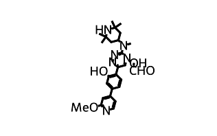 COc1cc(-c2ccc(-c3cnc(N(C)C4CC(C)(C)NC(C)(C)C4)nn3)c(O)c2)ccn1.O=CO